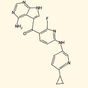 Nc1ncnc2[nH]cc(C(=O)c3ccc(Nc4ccc(C5CC5)nc4)nc3F)c12